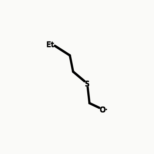 CCCCSC[O]